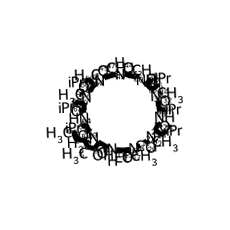 CC=CCC(C)C(O)C1C(=O)NC(CC)C(=O)N(C)CC(=O)N(C)C(CC(C)C)C(=O)NC(C(C)C)C(=O)N(C)C(CC(C)C)C(=O)NC(C)C(=O)NC(C)C(=O)N(C)C(CC(C)C)C(=O)N(C)C(CC(C)C)C(=O)NC(C(C)C)C(=O)N1C